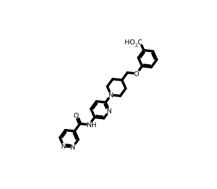 O=C(O)c1cccc(OCC2CCN(c3ccc(NC(=O)c4ccnnc4)cn3)CC2)c1